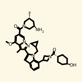 COc1cc(C(=O)N2C[C@H](N)C[C@@H](F)C2)cn2nc(-c3cc4cccc(C5CN(C(=O)[C@H]6CC[C@H](O)CC6)C5)c4n3CC3CC3)c(C)c12